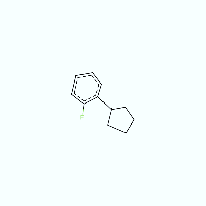 Fc1ccccc1[C]1CCCC1